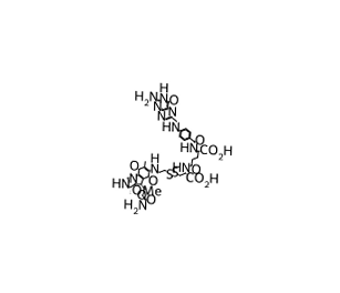 CO[C@]12[C@H](C)NCN1C1=C(C(=O)C(NCCSSC[C@H](NC(=O)CC[C@@H](NC(=O)c3ccc(NCc4cnc5nc(N)[nH]c(=O)c5n4)cc3)C(=O)O)C(=O)O)=C(C)C1=O)[C@H]2COC(N)=O